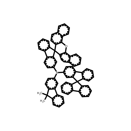 CC1(C)c2ccccc2-c2cc(N(c3ccc4c(c3)C3(c5ccccc5-c5ccccc53)c3ccccc3-4)c3ccc4c(c3)C3(c5ccccc5-4)c4ccc5ccccc5c4Oc4c3ccc3ccccc43)ccc21